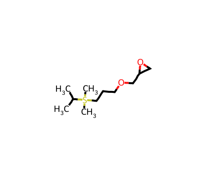 CC(C)S(C)(C)CCCOCC1CO1